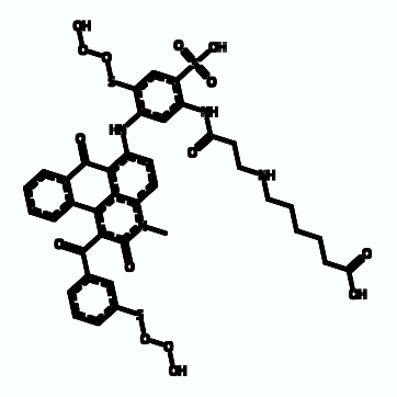 Cn1c(=O)c(C(=O)c2cccc(SOOO)c2)c2c3c(c(Nc4cc(NC(=O)CCNCCCCCC(=O)O)c(S(=O)(=O)O)cc4SOOO)ccc31)C(=O)c1ccccc1-2